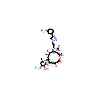 CC[C@H]1OC(=O)[C@H](C)C(=O)[C@H](C)[C@@H](O[C@@H]2O[C@H](C)CC(N)C2O)[C@](C)(OC)C[C@@H](C)C(=O)[C@H](C)[C@H]2N(CC=Cn3cc(-c4cccc(N)c4)nn3)C(=O)O[C@]12C